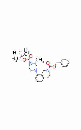 C[C@@H]1CN(c2cccc3c2CN(C(=O)OCc2ccccc2)CC3)CCN1C(=O)OC(C)(C)C